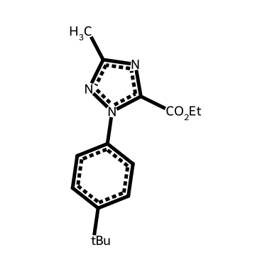 CCOC(=O)c1nc(C)nn1-c1ccc(C(C)(C)C)cc1